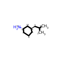 CC(C)C[C@H]1CCC[C@H](N)C1